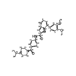 COc1ccc(-c2ccnc3cc(C(=O)Nc4ccc(C(=O)N5CCN(C(C)C)CC5)cc4)nn23)cc1OC